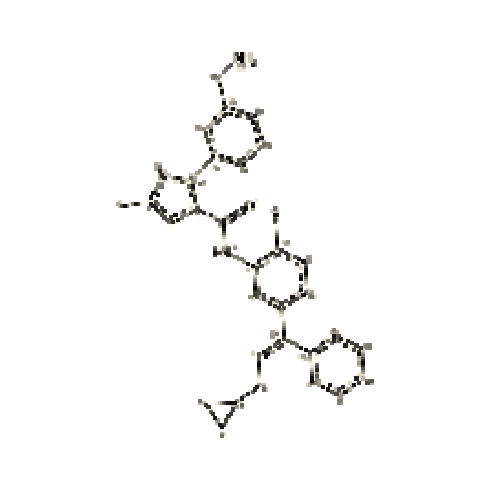 Cc1cc(C(=O)Nc2cc(C(=CCC3CC3)c3ccccc3)ccc2F)n(-c2cccc(CN)c2)n1